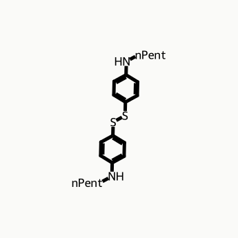 CCCCCNc1ccc(SSc2ccc(NCCCCC)cc2)cc1